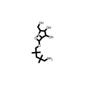 CC(C)(CN)CC(C)(C)COC1OB2C(CO)C(O)C(O)C21